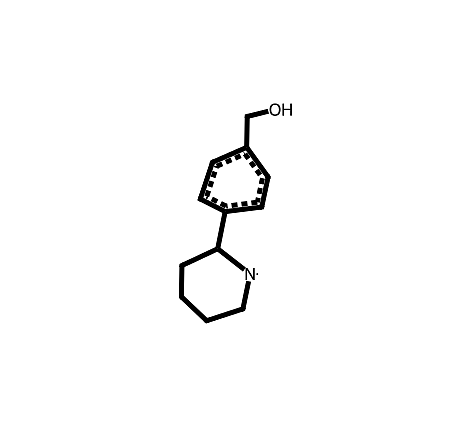 OCc1ccc(C2CCCC[N]2)cc1